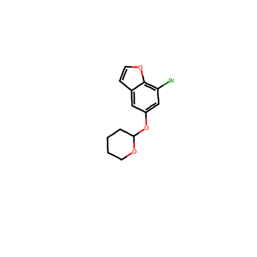 Brc1cc(OC2CCCCO2)cc2ccoc12